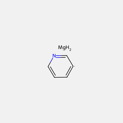 [MgH2].[c]1cccnc1